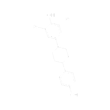 CC(C)c1cc(C2CCC(c3ccc(O)cc3)CC2)cc(C(C)C)c1O